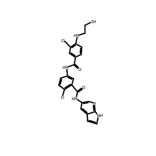 O=C(Nc1ccc(Cl)c(C(=O)Nc2cnc3[nH]ccc3c2)c1)c1ccc(NCCO)c(Cl)c1